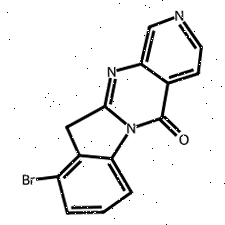 O=c1c2ccncc2nc2n1-c1cccc(Br)c1C2